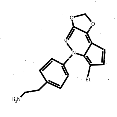 CCc1ccc2c3c(nn(-c4ccc(CCN)cc4)c1-2)OCO3